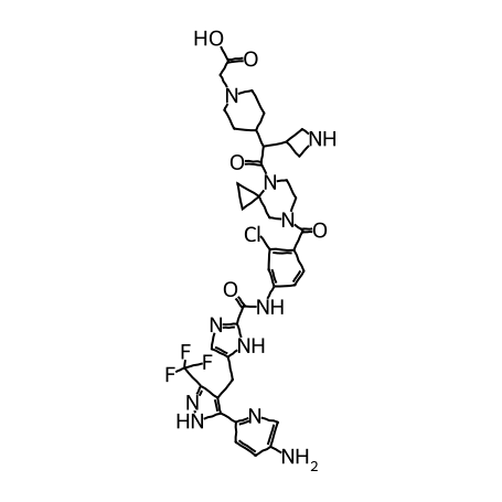 Nc1ccc(-c2[nH]nc(C(F)(F)F)c2Cc2cnc(C(=O)Nc3ccc(C(=O)N4CCN(C(=O)C(C5CCN(CC(=O)O)CC5)C5CNC5)C5(CC5)C4)c(Cl)c3)[nH]2)nc1